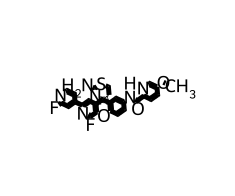 COc1ccc(C(=O)Nc2ccc3c(c2)[C@@]2(CCSC(N)=N2)c2cc(-c4ccnc(F)c4)nc(F)c2O3)nc1